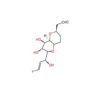 O=CC[C@H]1CCC2O[C@@H]([C@@H](O)/C=C/I)[C@@H](O)[C@@H](O)[C@H]2O1